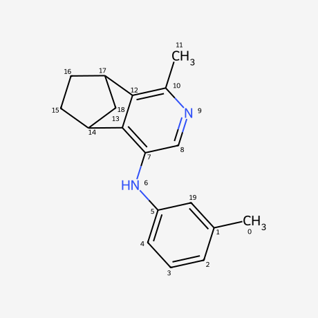 Cc1cccc(Nc2cnc(C)c3c2C2CCC3C2)c1